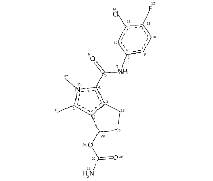 Cc1c2c(c(C(=O)Nc3ccc(F)c(Cl)c3)n1C)CCC2OC(N)=O